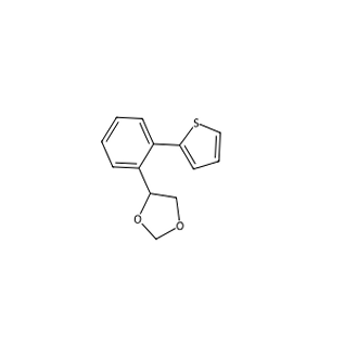 c1csc(-c2ccccc2C2COCO2)c1